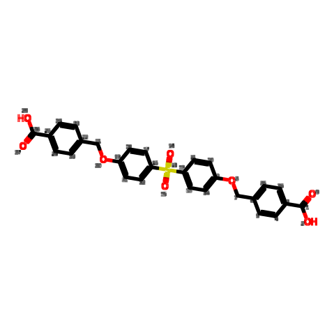 O=C(O)c1ccc(COc2ccc(S(=O)(=O)c3ccc(OCc4ccc(C(=O)O)cc4)cc3)cc2)cc1